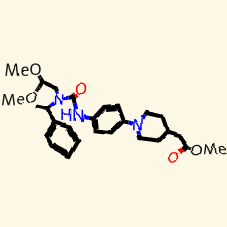 COC(=O)CC1CCN(c2ccc(NC(=O)N(CC(OC)OC)C(C)c3ccccc3)cc2)CC1